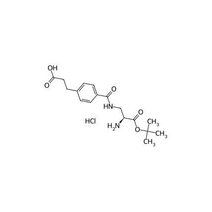 CC(C)(C)OC(=O)[C@@H](N)CNC(=O)c1ccc(CCC(=O)O)cc1.Cl